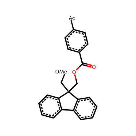 COCC1(COC(=O)c2ccc(C(C)=O)cc2)c2ccccc2-c2ccccc21